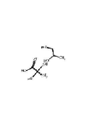 CC(O)CO.CC(S)(S)C(=O)O